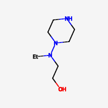 CCN(CCO)N1CCNCC1